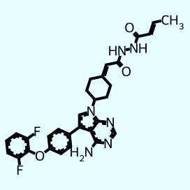 C/C=C/C(=O)NNC(=O)C=C1CCC(n2cc(-c3ccc(Oc4c(F)cccc4F)cc3)c3c(N)ncnc32)CC1